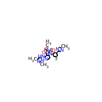 CCONC(=O)c1c(Nc2cc(F)cc(-c3cnc(C)cn3)c2OC)ccnc1Nc1cc(C)nc(C)n1